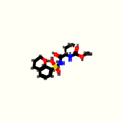 CC(C)C[C@H](NC(=O)OC(C)(C)C)C(=O)NS(=O)(=O)c1cccc2c1OCCC2